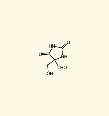 O=CC1(CO)NC(=O)NC1=O